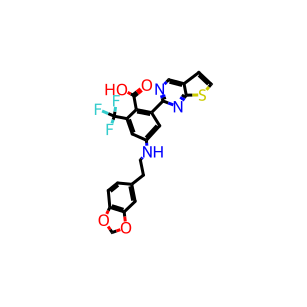 O=C(O)c1c(-c2ncc3ccsc3n2)cc(NCCc2ccc3c(c2)OCO3)cc1C(F)(F)F